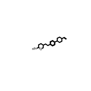 C=CC1CCC(c2ccc(CCC3CCC(CCC)OC3)cc2)CC1